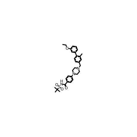 CCOc1cccc(-c2ccc(CN3CCN(c4ccc(C(=O)NS(=O)(=O)C(C)(C)C)cc4)CC3)cc2C)c1